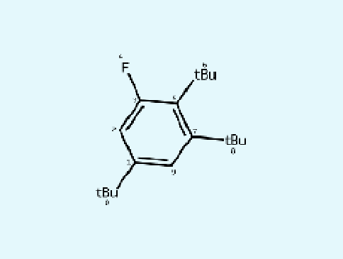 CC(C)(C)c1cc(F)c(C(C)(C)C)c(C(C)(C)C)c1